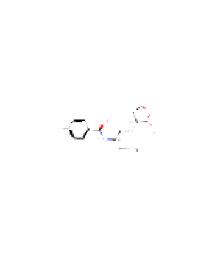 CC(C)C[C@H](CN[C@H]1CCOC1O)NC(=O)c1ccc(Cl)cc1